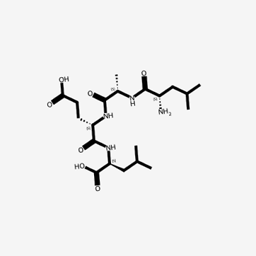 CC(C)C[C@H](NC(=O)[C@H](CCC(=O)O)NC(=O)[C@H](C)NC(=O)[C@@H](N)CC(C)C)C(=O)O